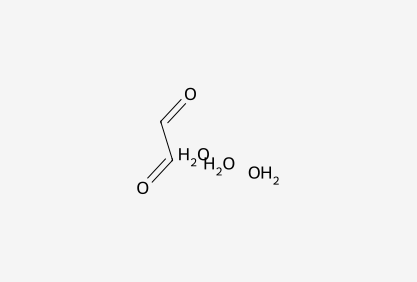 O.O.O.O=CC=O